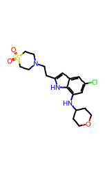 O=S1(=O)CCN(CCc2cc3cc(Cl)cc(NC4CCOCC4)c3[nH]2)CC1